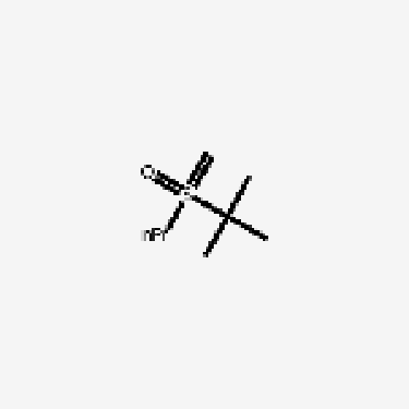 C=S(=O)(CCC)C(C)(C)C